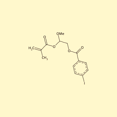 C=C(C)C(=O)OC(COC(=O)c1ccc(I)cc1)OC